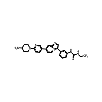 NC1CCN(c2ccc(-c3ccn4c(-c5cccc(NC(=O)NCC(F)(F)F)c5)cnc4c3)cn2)CC1